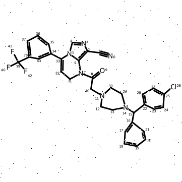 N#Cc1ncn2c1N(C(=O)CN1CCN(C(c3ccccc3)c3ccc(Cl)cc3)CC1)CC=C2c1cccc(C(F)(F)F)c1